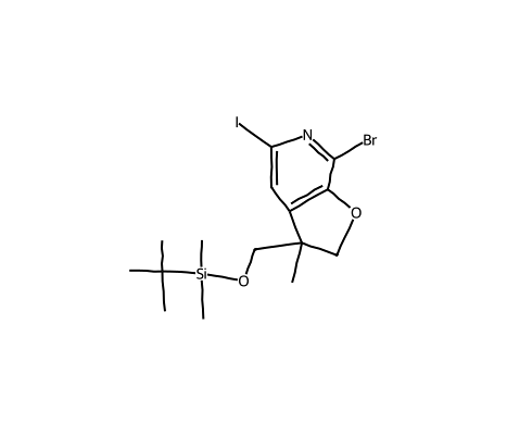 CC1(CO[Si](C)(C)C(C)(C)C)COc2c1cc(I)nc2Br